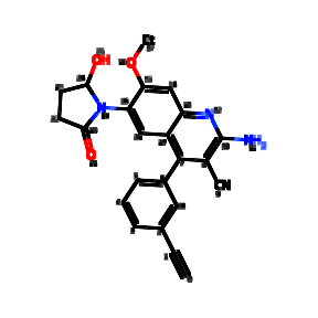 C#Cc1cccc(-c2c(C#N)c(N)nc3cc(OCC)c(N4C(=O)CCC4O)cc23)c1